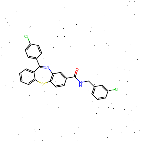 O=C(NCc1cccc(Cl)c1)c1ccc2c(c1)N=C(c1ccc(Cl)cc1)c1ccccc1S2